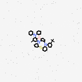 Cc1cc2c3c(c1)N1c4ccccc4Sc4ccccc4N(c4cccc(C(C)(C)C)c4)c4ccc(c1c4)B3c1ccccc1N2c1ccccc1